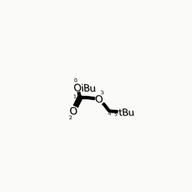 CC(C)COC(=O)OCC(C)(C)C